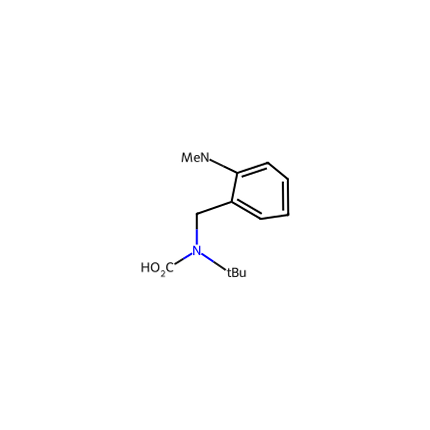 CNc1ccccc1CN(C(=O)O)C(C)(C)C